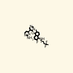 Cc1ccc2c(NSCCC(C)(F)F)c(F)ccc2c1Oc1ncncc1-c1ccnc(N)n1